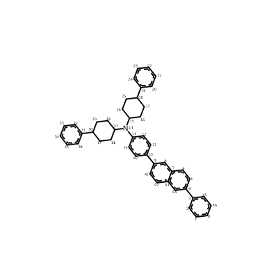 c1ccc(-c2ccc3cc(-c4ccc(N(C5CCC(c6ccccc6)CC5)C5CCC(c6ccccc6)CC5)cc4)ccc3c2)cc1